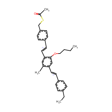 CCCCOc1cc(/C=C/c2ccc(CC)cc2)c(C)cc1/C=C/c1ccc(CSC(C)=O)cc1